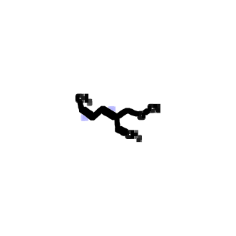 C=C/C(=C\C=C/C)COC#N